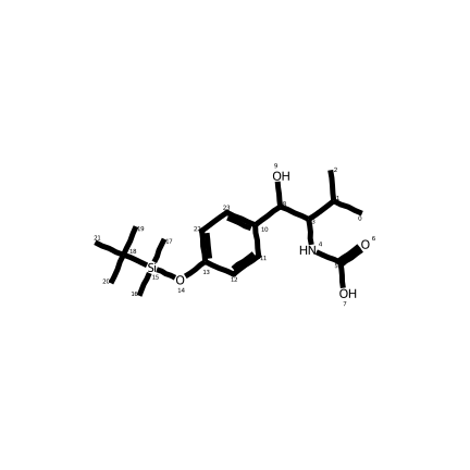 CC(C)C(NC(=O)O)C(O)c1ccc(O[Si](C)(C)C(C)(C)C)cc1